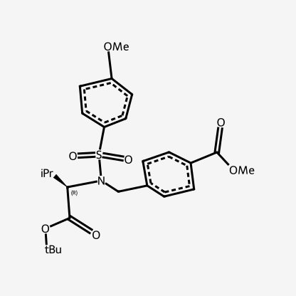 COC(=O)c1ccc(CN([C@@H](C(=O)OC(C)(C)C)C(C)C)S(=O)(=O)c2ccc(OC)cc2)cc1